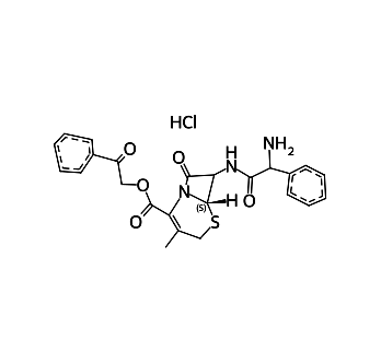 CC1=C(C(=O)OCC(=O)c2ccccc2)N2C(=O)C(NC(=O)C(N)c3ccccc3)[C@@H]2SC1.Cl